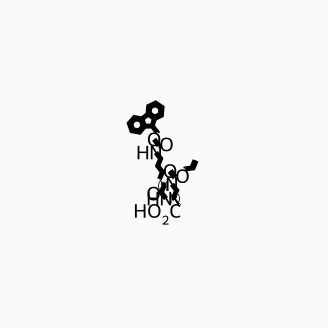 C=CCOC(=O)N1C[C@@H](CC(=O)O)NC(=O)[C@@H]1CCCCNC(=O)OCC1c2ccccc2-c2ccccc21